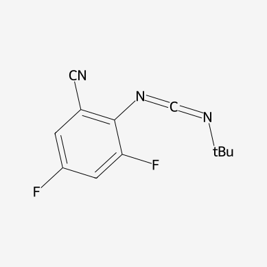 CC(C)(C)N=C=Nc1c(F)cc(F)cc1C#N